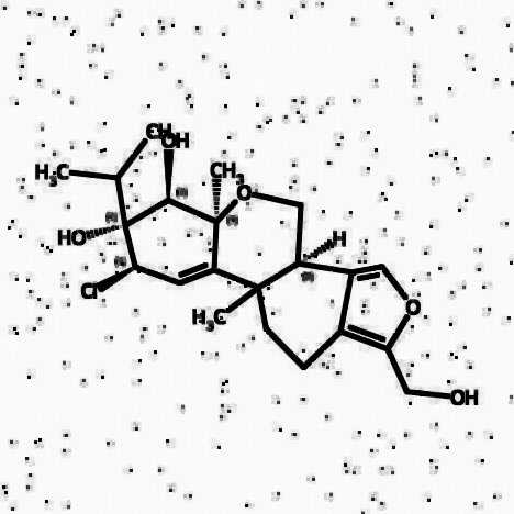 CC(C)[C@]1(O)[C@H](Cl)C=C2C3(C)CCc4c(coc4CO)[C@@H]3CO[C@]2(C)[C@@H]1O